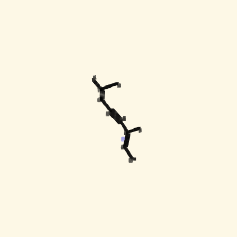 [CH2]/C=C(\C)C#CC=C(C)C